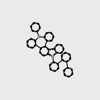 c1ccc(-c2ccccc2-c2ccccc2-n2c3ccccc3c3c4c(ccc32)-c2ccccc2N(c2ccccc2)c2ccccc2-4)cc1